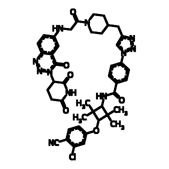 CC1(C)C(NC(=O)c2ccc(-n3cc(CC4CCN(C(=O)CNc5ccc6nnn(C7CCC(=O)NC7=O)c(=O)c6c5)CC4)nn3)cc2)C(C)(C)C1Oc1ccc(C#N)c(Cl)c1